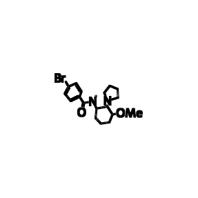 COC1CCCC(N(C)C(=O)c2ccc(Br)cc2)C1N1CCCC1